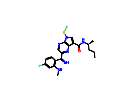 CCC[C@H](C)NC(=O)c1cn(SF)c2ncc(C(=N)c3ccc(F)cc3NC)nc12